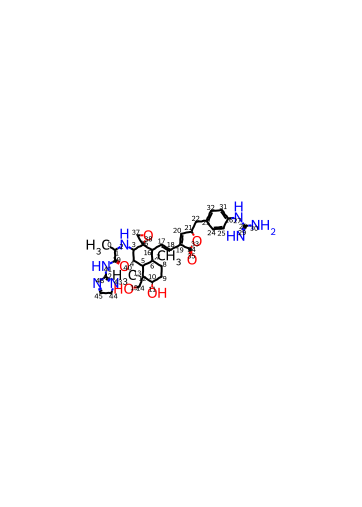 CC(NC1CC2[C@](C)(CC[C@@H](O)[C@@]2(C)CO)C(/C=C/C2=CC(Cc3ccc(NC(=N)N)cc3)OC2=O)C12CO2)C(=O)NC1=NCC=N1